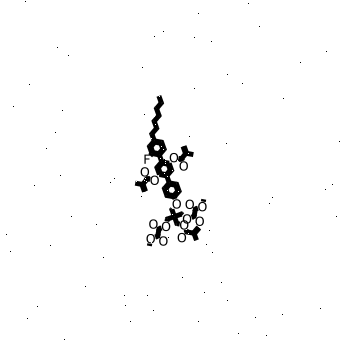 C=C(C)C(=O)OCC(COC(=O)C(=O)OC)(COC(=O)C(=O)OC)COc1ccc(-c2cc(OC(=O)C(=C)C)c(-c3ccc(CCCCCCC)cc3F)cc2OC(=O)C(=C)C)cc1